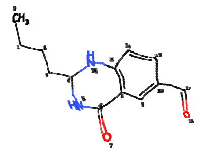 CCCCC1NC(=O)c2cc(C=O)ccc2N1